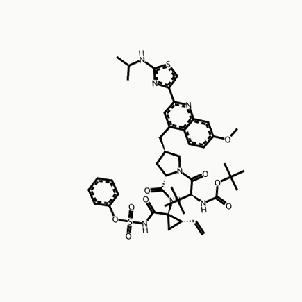 C=C[C@@H]1C[C@]1(NC(=O)[C@@H]1C[C@@H](Cc2cc(-c3csc(NC(C)C)n3)nc3cc(OC)ccc23)CN1C(=O)[C@@H](NC(=O)OC(C)(C)C)C(C)(C)C)C(=O)NS(=O)(=O)Oc1ccccc1